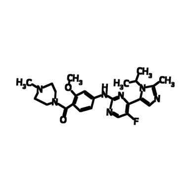 COc1cc(Nc2ncc(F)c(-c3cnc(C)n3C(C)C)n2)ccc1C(=O)N1CCN(C)CC1